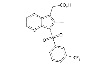 Cc1c(CC(=O)O)c2cccnc2n1S(=O)(=O)c1cccc(C(F)(F)F)c1